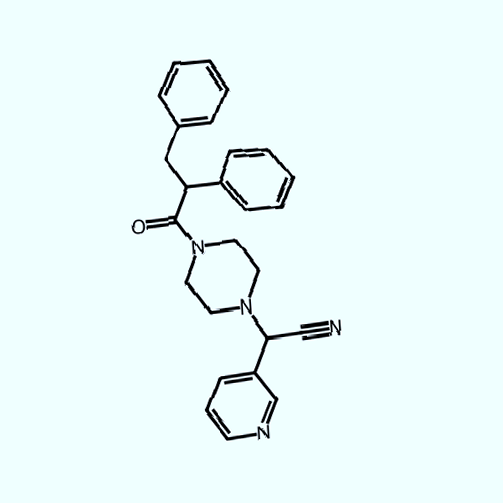 N#CC(c1cccnc1)N1CCN(C(=O)C(Cc2ccccc2)c2ccccc2)CC1